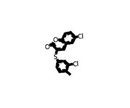 Cc1ccc(Sc2cc3cc(Cl)ccc3oc2=O)cc1Cl